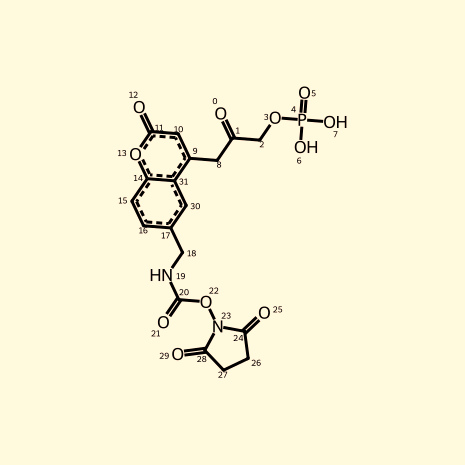 O=C(COP(=O)(O)O)Cc1cc(=O)oc2ccc(CNC(=O)ON3C(=O)CCC3=O)cc12